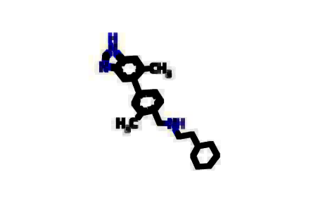 Cc1cc(-c2cc3nc[nH]c3cc2C)ccc1CNCCC1CCCCC1